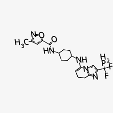 Cc1cc(C(=O)NC2CCC(NC3=CCCc4nc(C(F)(F)P)cn43)CC2)on1